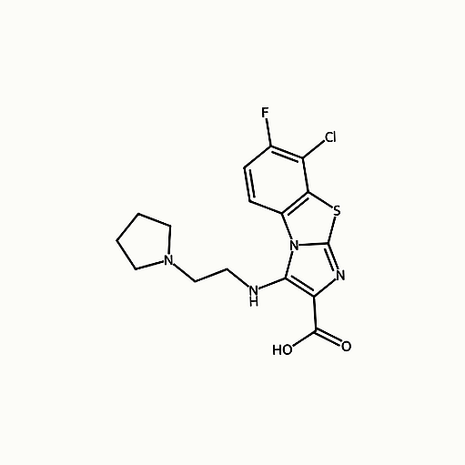 O=C(O)c1nc2sc3c(Cl)c(F)ccc3n2c1NCCN1CCCC1